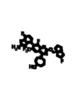 Nc1nc2c(-c3c(C(F)(F)F)cc4c(N5CCCC(O)CC5)nc(OC[C@@]56CCCN5C[C@H](F)C6)nc4c3F)ccc(F)c2s1